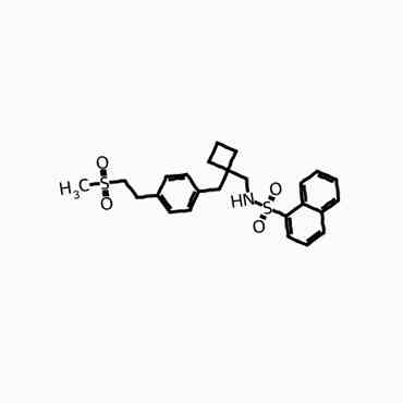 CS(=O)(=O)CCc1ccc(CC2(CNS(=O)(=O)c3cccc4ccccc34)CCC2)cc1